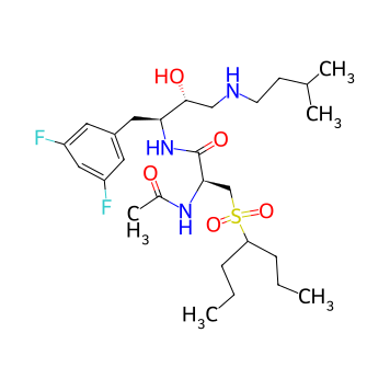 CCCC(CCC)S(=O)(=O)C[C@@H](NC(C)=O)C(=O)N[C@@H](Cc1cc(F)cc(F)c1)[C@H](O)CNCCC(C)C